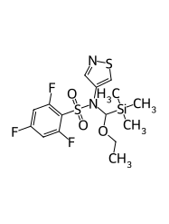 CCOC(N(c1cnsc1)S(=O)(=O)c1c(F)cc(F)cc1F)[Si](C)(C)C